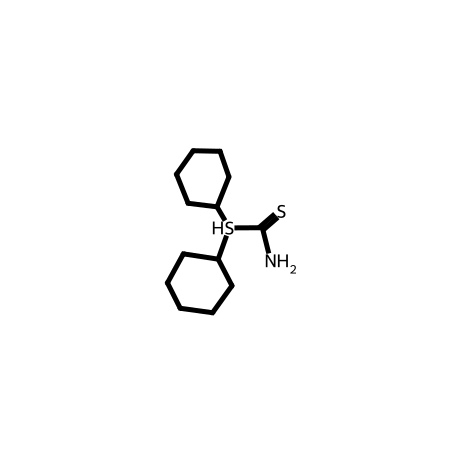 NC(=S)[SH](C1CCCCC1)C1CCCCC1